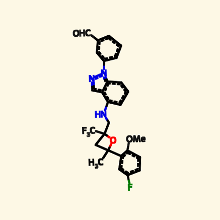 COc1ccc(F)cc1C1(C)CC(CNc2cccc3c2cnn3-c2cccc(C=O)c2)(C(F)(F)F)O1